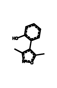 Cc1noc(C)c1-c1ccccc1O